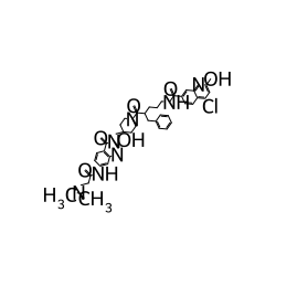 CN(C)CCC(=O)Nc1ccc2c(=O)n(CC3(O)CCN(C(=O)C(CCCNC(=O)c4ccc5c(Cl)cc(O)nc5c4)Cc4ccccc4)CC3)cnc2c1